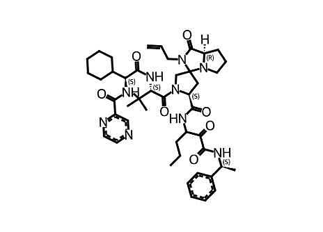 C=CCN1C(=O)[C@H]2CCCN2C12C[C@@H](C(=O)NC(CCC)C(=O)C(=O)N[C@@H](C)c1ccccc1)N(C(=O)[C@@H](NC(=O)[C@@H](NC(=O)c1cnccn1)C1CCCCC1)C(C)(C)C)C2